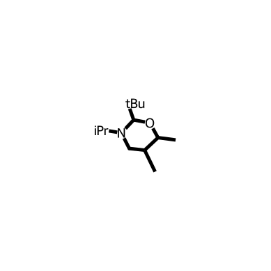 CC1CN(C(C)C)C(C(C)(C)C)OC1C